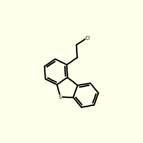 ClCCc1cccc2sc3ccccc3c12